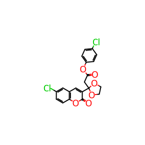 O=C(CC1(c2cc3cc(Cl)ccc3oc2=O)OCCO1)Oc1ccc(Cl)cc1